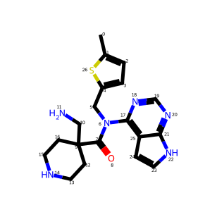 Cc1ccc(CN(C(=O)C2(CN)CCNCC2)c2ncnc3[nH]ccc23)s1